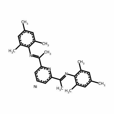 CC(=Nc1c(C)cc(C)cc1C)c1cccc(C(C)=Nc2c(C)cc(C)cc2C)n1.[Ni]